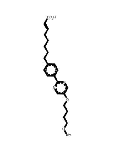 CCCOCCCCOc1cnc(-c2ccc(CCCCC/C=C/C(=O)O)cc2)nc1